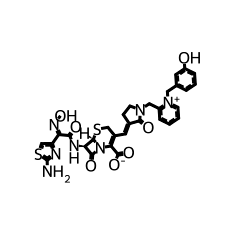 Nc1nc(/C(=N/O)C(=O)N[C@@H]2C(=O)N3C(C(=O)[O-])=C(/C=C4\CCN(Cc5cccc[n+]5Cc5cccc(O)c5)C4=O)CS[C@H]23)cs1